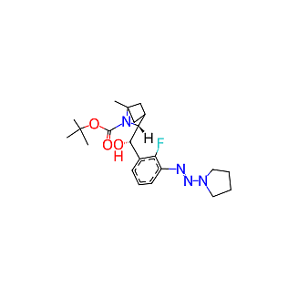 CC(C)(C)OC(=O)N1[C@@H]([C@@H](O)c2cccc(/N=N/N3CCCC3)c2F)C2CC1(C)C2